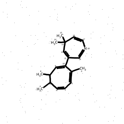 CC1=C/C=C\C(C)C(C)/C=C\1C1=CC(C)(C)C=CN=C1